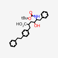 CC(C)(C)OC(=O)NC(Cc1ccccc1)C(O)CC(Cc1ccc(CCc2ccccc2)cc1)C(=O)O